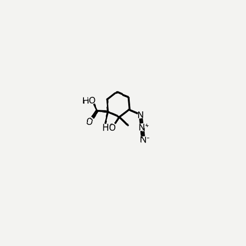 CC1(C(=O)O)CCCC(N=[N+]=[N-])C1(C)O